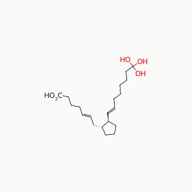 O=C(O)CCCC=CC[C@H]1CCC[C@@H]1C=CCCCCCC(O)(O)O